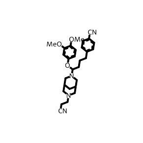 COc1ccc(OC(CCCc2ccc(C#N)cc2)N2CC3CC(CN(CCC#N)C3)C2)cc1OC